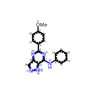 COc1ccc(-c2nc(Nc3cc[c]cc3)c3[nH]ncc3n2)cc1